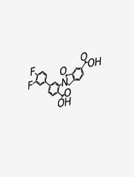 O=C(O)c1ccc2c(c1)C(=O)N(c1cc(-c3ccc(F)c(F)c3)ccc1C(=O)O)C2